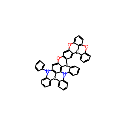 c1ccc(N2c3ccccc3B3c4ccccc4N4c5ccccc5B5c6cc7c(cc6Oc6cc2c3c4c65)Oc2cccc3c2B7c2ccccc2O3)cc1